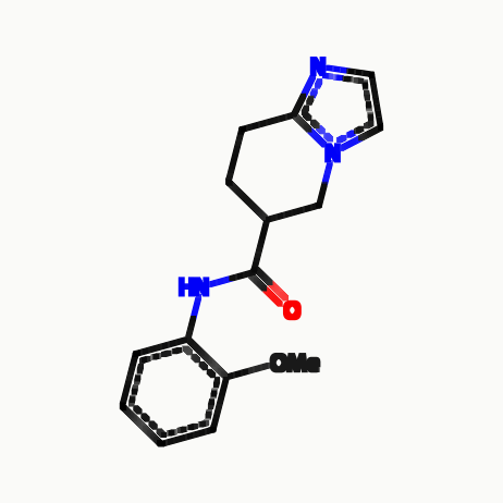 COc1ccccc1NC(=O)C1CCc2nccn2C1